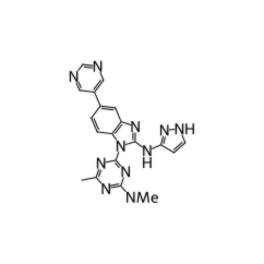 CNc1nc(C)nc(-n2c(Nc3cc[nH]n3)nc3cc(-c4cncnc4)ccc32)n1